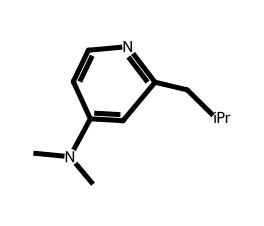 CC(C)Cc1cc(N(C)C)ccn1